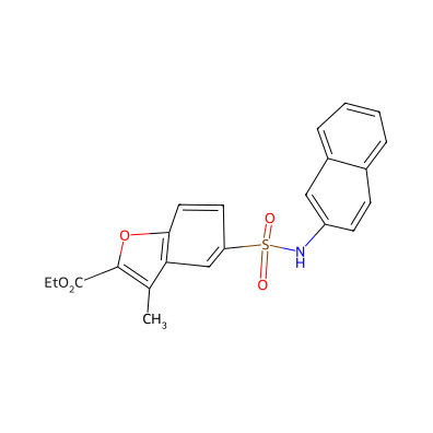 CCOC(=O)c1oc2ccc(S(=O)(=O)Nc3ccc4ccccc4c3)cc2c1C